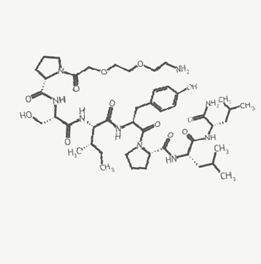 CC[C@H](C)[C@H](NC(=O)[C@H](CO)NC(=O)[C@@H]1CCCN1C(=O)COCCOCCN)C(=O)N[C@@H](Cc1ccc(O)cc1)C(=O)N1CCC[C@H]1C(=O)N[C@@H](CC(C)C)C(=O)N[C@@H](CC(C)C)C(N)=O